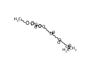 C=C(C)C(=O)OCCCCCC(=O)OCCCCCC(=O)OCCCCCCOc1ccc(C(=O)Oc2ccc([C@H]3CC[C@H](CCCCC)CC3)cc2)cc1